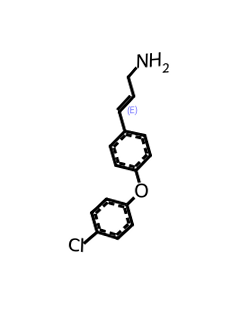 NC/C=C/c1ccc(Oc2ccc(Cl)cc2)cc1